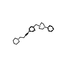 C(#Cc1ccc(CN2CCN(c3ccccc3)CC2)cc1)CCN1CCCCC1